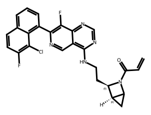 C=CC(=O)N1C2C[C@H]2[C@H]1CCNc1ncnc2c(F)c(-c3cccc4ccc(F)c(Cl)c34)ncc12